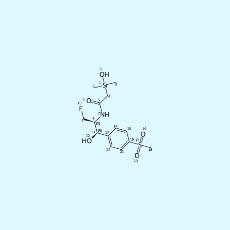 C[Si](C)(O)CC(=O)N[C@H](CF)[C@H](O)c1ccc(S(C)(=O)=O)cc1